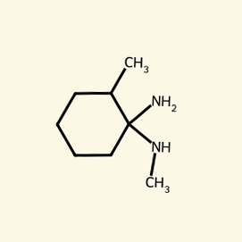 CNC1(N)CCCCC1C